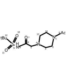 CC(=O)N1CCN(CC(=O)NS(=O)(=O)C(C)(C)C)CC1